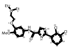 CCN(CC)CCOc1cc(NC(=O)c2csc(-c3cccc(Cl)c3Cl)n2)ccc1OC